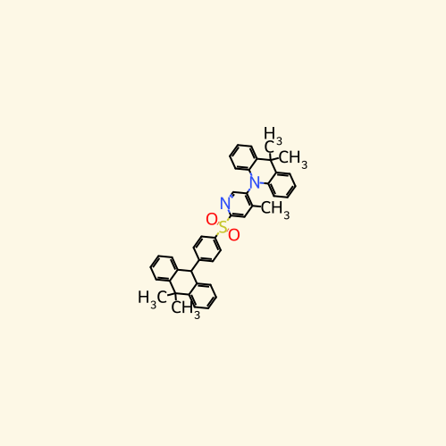 Cc1cc(S(=O)(=O)c2ccc(C3c4ccccc4C(C)(C)c4ccccc43)cc2)ncc1N1c2ccccc2C(C)(C)c2ccccc21